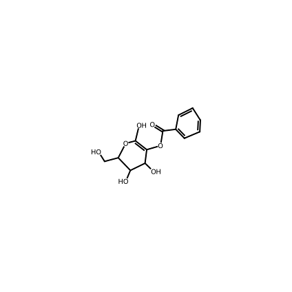 O=C(OC1=C(O)OC(CO)C(O)C1O)c1ccccc1